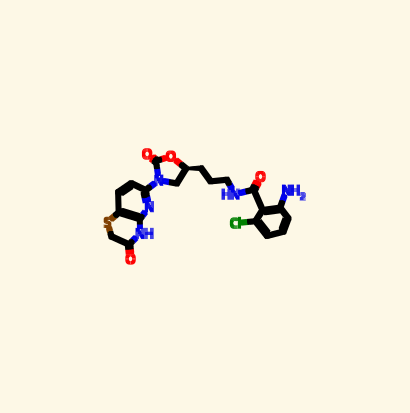 Nc1cccc(Cl)c1C(=O)NCCC[C@H]1CN(c2ccc3c(n2)NC(=O)CS3)C(=O)O1